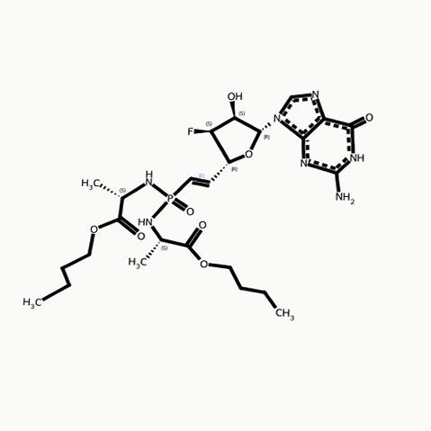 CCCCOC(=O)[C@H](C)NP(=O)(/C=C/[C@H]1O[C@@H](n2cnc3c(=O)[nH]c(N)nc32)[C@H](O)[C@@H]1F)N[C@@H](C)C(=O)OCCCC